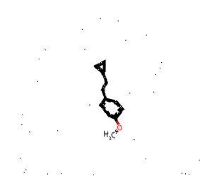 COc1ccc(CCC2=CC2)cc1